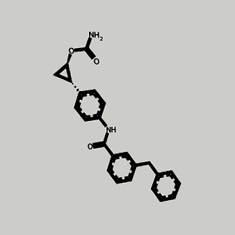 NC(=O)O[C@@H]1C[C@H]1c1ccc(NC(=O)c2cccc(Cc3ccccc3)c2)cc1